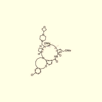 COCC[C@@H]1[C@@H](C)C/C=C/[C@@](CN2CCN(C3COC3)CC2)(OC)[C@@H]2CC[C@H]2CN2CCCCc3cc(Cl)ccc3COc3ccc(cc32)C(=O)NS1(=O)=O